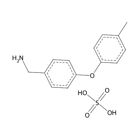 Cc1ccc(Oc2ccc(CN)cc2)cc1.O=S(=O)(O)O